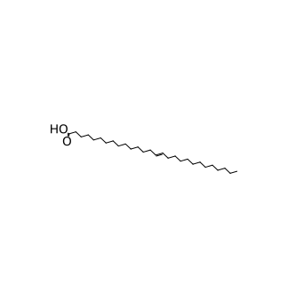 CCCCCCCCCCCCC=CCCCCCCCCCCCCCC(=O)O